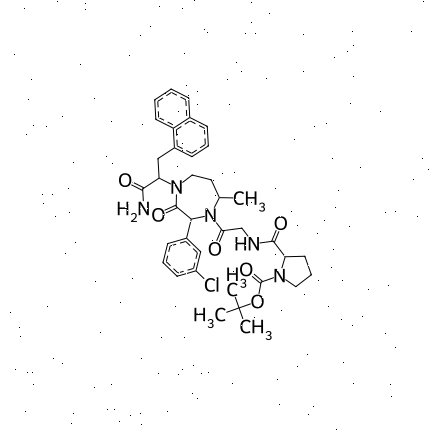 CC1CCN(C(Cc2cccc3ccccc23)C(N)=O)C(=O)C(c2cccc(Cl)c2)N1C(=O)CNC(=O)C1CCCN1C(=O)OC(C)(C)C